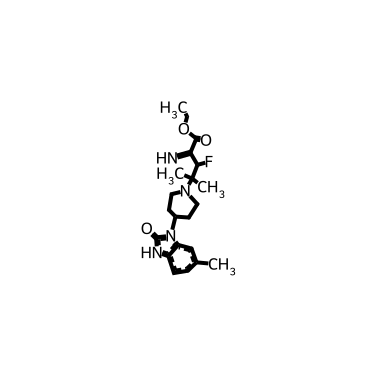 CCOC(=O)C(=N)C(F)C(C)(C)N1CCC(n2c(=O)[nH]c3ccc(C)cc32)CC1